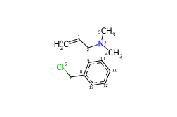 C=CCN(C)C.ClCc1ccccc1